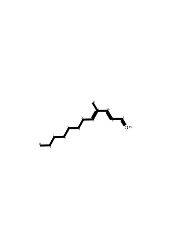 CCCCCCCC=C(C)/C=C/C=O